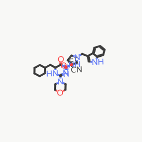 CCNC(=O)/N=C(\NC(CC1CCCCC1)C(=O)NC1(C#N)CCN(Cc2c[nH]c3ccccc23)C1)N1CCOCC1